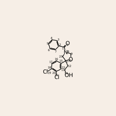 O=C(c1ccccc1)N1COC(CCO)(c2ccc(Cl)c(Cl)c2)C1